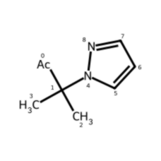 CC(=O)C(C)(C)n1cccn1